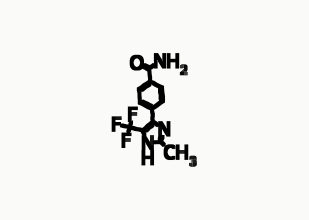 Cc1nc(-c2ccc(C(N)=O)cc2)c(C(F)(F)F)[nH]1